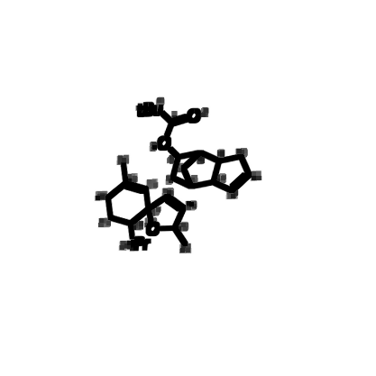 CC(C)(C)C(=O)OC1CC2CC1C1CC=CC21.CC1=CC2(C=CC(C)O2)C(C(C)C)CC1